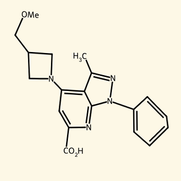 COCC1CN(c2cc(C(=O)O)nc3c2c(C)nn3-c2ccccc2)C1